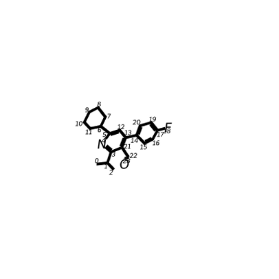 CC(C)c1nc(C2CCCCC2)cc(-c2ccc(F)cc2)c1C=O